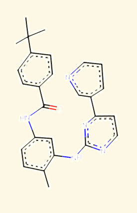 Cc1ccc(NC(=O)c2ccc(C(C)(C)C)cc2)cc1Nc1nccc(-c2cccnc2)n1